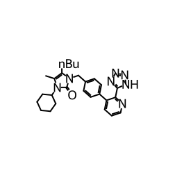 CCCCc1c(C)n(C2CCCCC2)c(=O)n1Cc1ccc(-c2cccnc2-c2nnn[nH]2)cc1